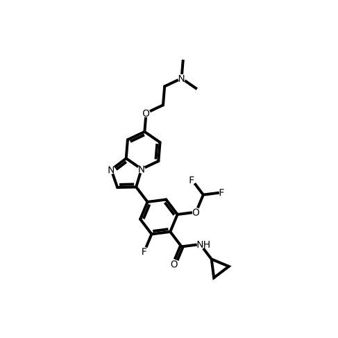 CN(C)CCOc1ccn2c(-c3cc(F)c(C(=O)NC4CC4)c(OC(F)F)c3)cnc2c1